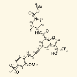 COc1cc(S(C)(=O)=O)ccc1NCC#Cc1cc(C(=O)N[C@H]2CCN(C(=O)OC(C)(C)C)C[C@@H]2C)c2occ(C(O)C(F)(F)F)c2c1